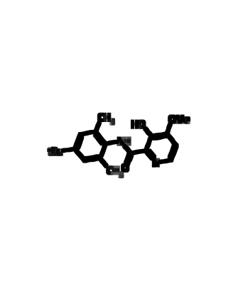 COc1ccnc(C(=O)Nc2c(C)cc(C(C)(C)C)cc2C)c1O